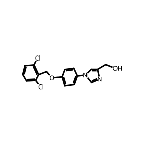 OCc1cn(-c2ccc(OCc3c(Cl)cccc3Cl)cc2)cn1